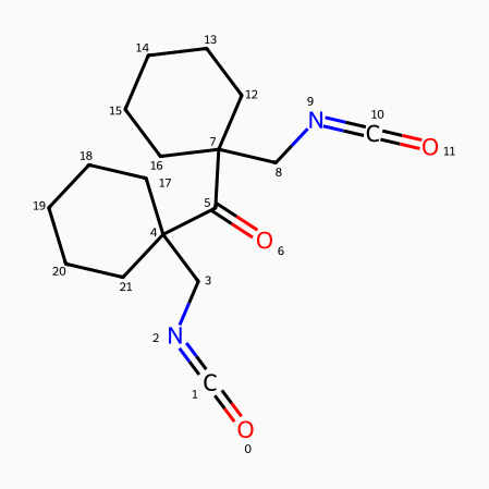 O=C=NCC1(C(=O)C2(CN=C=O)CCCCC2)CCCCC1